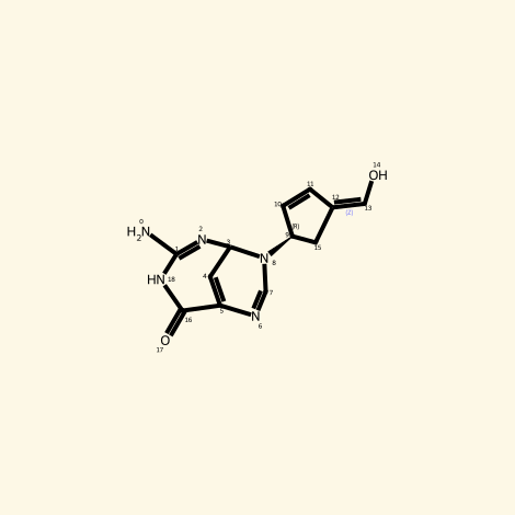 NC1=NC2C=C(N=CN2[C@H]2C=C/C(=C\O)C2)C(=O)N1